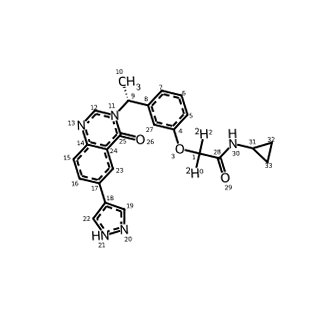 [2H]C([2H])(Oc1cccc([C@@H](C)n2cnc3ccc(-c4cn[nH]c4)cc3c2=O)c1)C(=O)NC1CC1